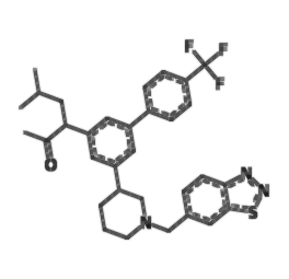 CC(=O)C(CC(C)C)c1cc(-c2ccc(C(F)(F)F)cc2)cc(C2CCCN(Cc3ccc4nnsc4c3)C2)c1